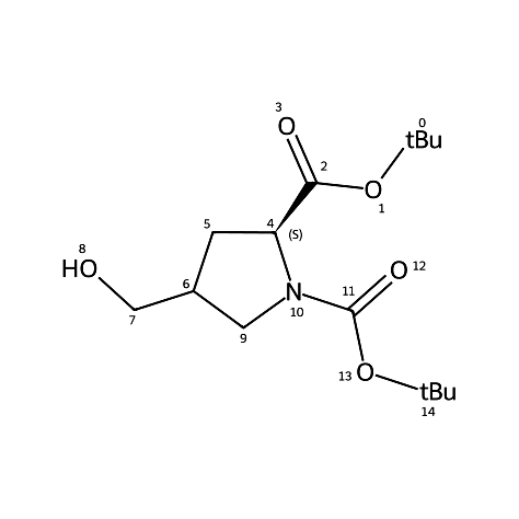 CC(C)(C)OC(=O)[C@@H]1CC(CO)CN1C(=O)OC(C)(C)C